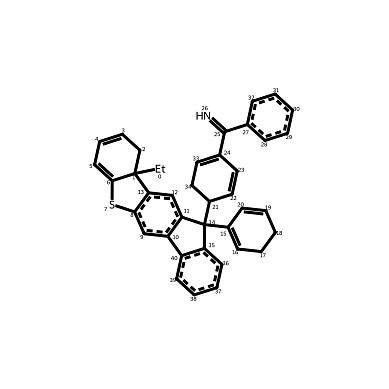 CCC12CC=CC=C1Sc1cc3c(cc12)C(C1=CCCC=C1)(C1C=CC(C(=N)c2ccccc2)=CC1)c1ccccc1-3